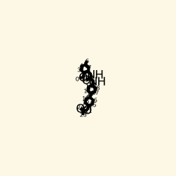 COc1ccc(C)cc1NC(=O)Nc1ccc(C2CCC(OC(C)=O)CC2)cc1